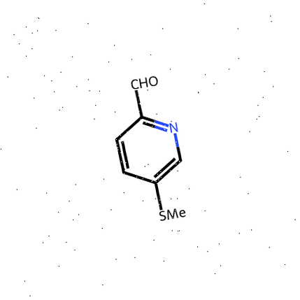 CSc1ccc(C=O)nc1